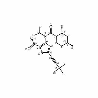 CC(C)N(C(=O)C1CC[C@H](C)C[C@@H]1C)c1cc(C#CC(C)(C)C)sc1C(=O)O